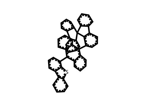 c1ccc2c(c1)-c1ccccc1C21c2ccccc2-c2cccc(-c3c4ccccc4c(-c4cccc5c4sc4ccccc45)c4ccccc34)c21